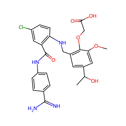 COc1cc(C(C)O)cc(CNc2ccc(Cl)cc2C(=O)Nc2ccc(C(=N)N)cc2)c1OCC(=O)O